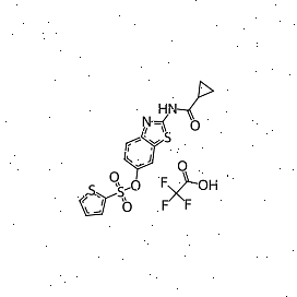 O=C(Nc1nc2ccc(OS(=O)(=O)c3cccs3)cc2s1)C1CC1.O=C(O)C(F)(F)F